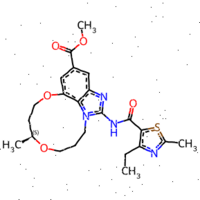 CCc1nc(C)sc1C(=O)Nc1nc2cc(C(=O)OC)cc3c2n1CCCO[C@@H](C)CCO3